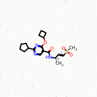 C[C@@H](/C=C/S(C)(=O)=O)NC(=O)c1cnc(C2CCCC2)nc1OC1CCC1